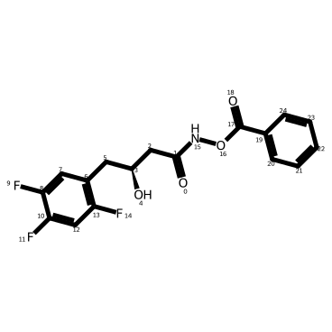 O=C(C[C@@H](O)Cc1cc(F)c(F)cc1F)NOC(=O)c1ccccc1